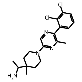 Cc1nc(N2CCC(C)(C(C)N)CC2)cnc1-c1cccc(Cl)c1Cl